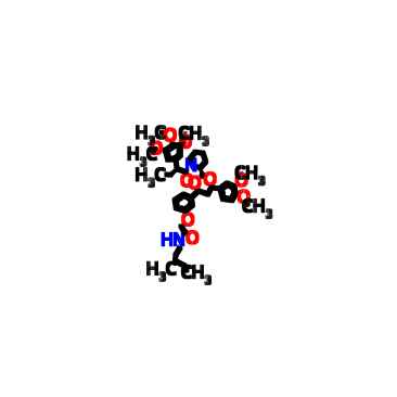 CCC(C)CCNC(=O)COc1cccc(C(CCc2ccc(OC)c(OC)c2)OC(=O)[C@@H]2CCCCN2C(=O)[C@@H](CC)c2cc(OC)c(OC)c(OC)c2)c1